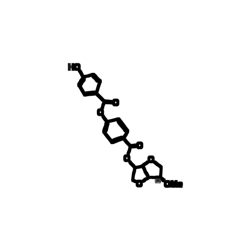 CO[C@@H]1COC2C(OC(=O)c3ccc(OC(=O)c4ccc(O)cc4)cc3)COC21